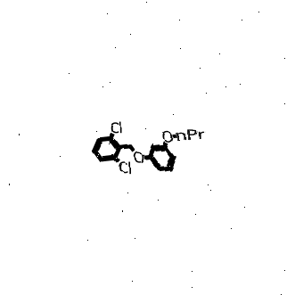 CCCOc1cccc(OCc2c(Cl)cccc2Cl)c1